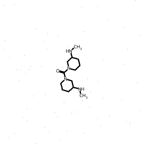 CNC1CCCN(C(=O)N2CCCC(NC)C2)C1